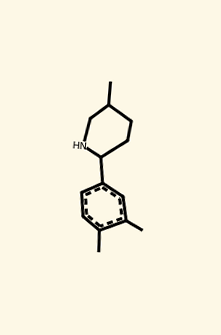 Cc1ccc(C2CCC(C)CN2)cc1C